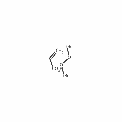 C=CC(=O)O.CC(C)(C)OOC(C)(C)C